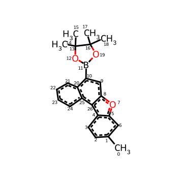 Cc1ccc2c(c1)oc1cc(B3OC(C)(C)C(C)(C)O3)c3ccccc3c12